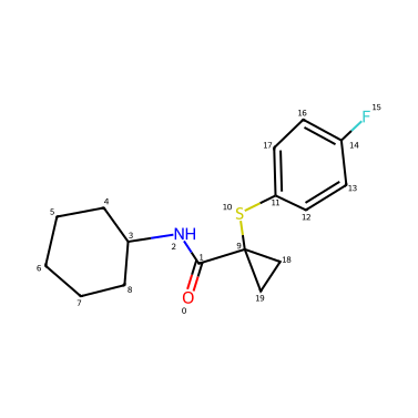 O=C(NC1CCCCC1)C1(Sc2ccc(F)cc2)CC1